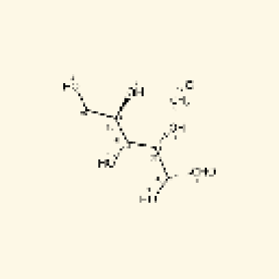 C.O=C[C@H](O)[C@@H](O)[C@H](O)[C@H](O)CO.[C]